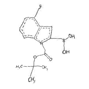 CC(C)(C)OC(=O)n1c(B(O)O)cc2c(F)cccc21